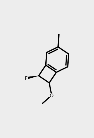 COC1c2ccc(C)cc2[C@@H]1F